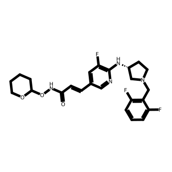 O=C(C=Cc1cnc(N[C@@H]2CCN(Cc3c(F)cccc3F)C2)c(F)c1)NOC1CCCCO1